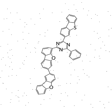 c1ccc(-c2nc(-c3ccc4c(c3)sc3ccccc34)nc(-c3cccc4c3oc3cc(-c5ccc6oc7ccccc7c6c5)ccc34)n2)cc1